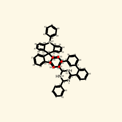 c1ccc(C2N=C(c3ccccc3-c3cccc(-c4ccc5c(c4)C4(c6ccccc6-5)c5ccccc5N(c5ccccc5)c5ccccc54)c3)NC(c3ccccc3)N2)cc1